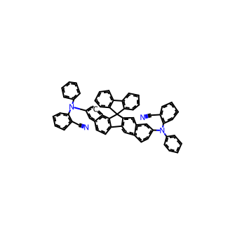 N#Cc1ccccc1N(c1ccccc1)c1ccc2cc3c(cc2c1)C1(c2ccccc2-c2ccccc21)c1c-3ccc2cc(N(c3ccccc3)c3ccccc3C#N)ccc12